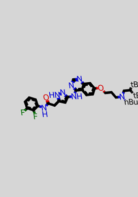 CCCCN(CCCOc1ccc2c(Nc3cc(CC(=O)Nc4cccc(F)c4F)[nH]n3)ncnc2c1)C[C](C(C)(C)C)C(C)(C)C